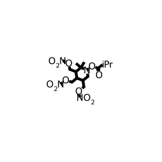 CC(C)C(=O)ON1CC(CO[N+](=O)[O-])C(CO[N+](=O)[O-])C(CO[N+](=O)[O-])C1(C)C